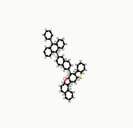 c1ccc(-c2c3ccccc3c(-c3ccc4cc(-c5c6oc7ccc8ccccc8c7c6cc6sc7ccccc7c56)ccc4c3)c3ccccc23)cc1